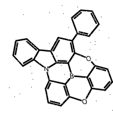 c1ccc(-c2cc3c4ccccc4n4c3c3c2Oc2cccc5c2B3c2c(cccc2-4)O5)cc1